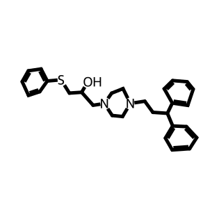 OC(CSc1ccccc1)CN1CCN(CCC(c2ccccc2)c2ccccc2)CC1